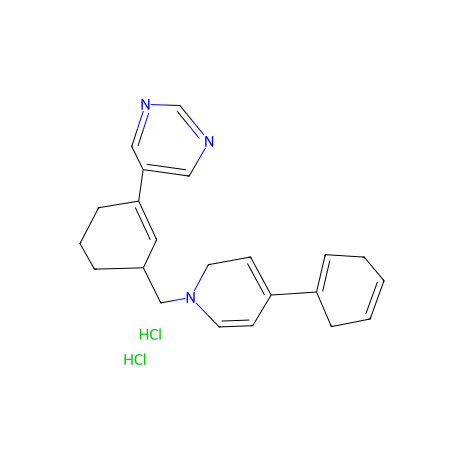 C1=CCC(C2=CCN(CC3C=C(c4cncnc4)CCC3)C=C2)=CC1.Cl.Cl